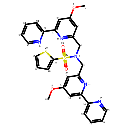 COc1cc(CN(Cc2cc(OC)cc(-c3ccccn3)n2)S(=O)(=O)c2cccs2)nc(-c2ccccn2)c1